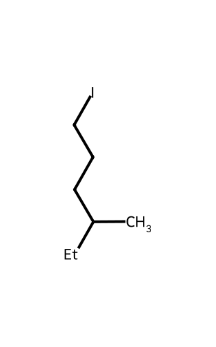 CCC(C)CCCI